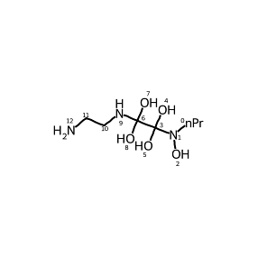 CCCN(O)C(O)(O)C(O)(O)NCCN